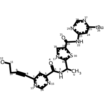 CC(NC(=O)c1cc(C#CCCO)ncn1)c1ncc(C(=O)Nc2cc(C(C)(C)C)ncn2)s1